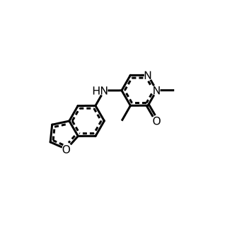 Cc1c(Nc2ccc3occc3c2)cnn(C)c1=O